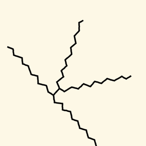 CCCCCCCCCCCC[C](CCCCCCCCCCC)C(CCCCCCCCCCCC)CCCCCCCCCCCC